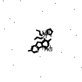 CC[CH2][Zr](=[SiH2])([CH2]CC)([C]1=CC=CC1)[c]1c(C)ccc2c1Cc1cc(C)ccc1-2.Cl.Cl